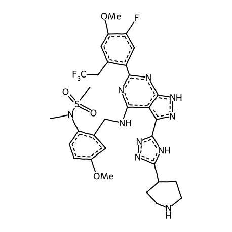 COc1ccc(N(C)S(C)(=O)=O)c(CNc2nc(-c3cc(F)c(OC)cc3CC(F)(F)F)nc3[nH]nc(-c4nnc(C5CCNCC5)[nH]4)c23)c1